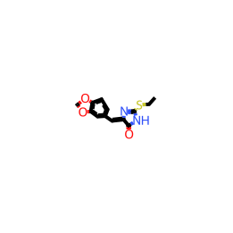 CCSC1=N/C(=C\c2ccc3c(c2)OCO3)C(=O)N1